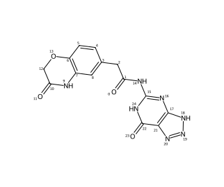 O=C(Cc1ccc2c(c1)NC(=O)CO2)Nc1nc2[nH]nnc2c(=O)[nH]1